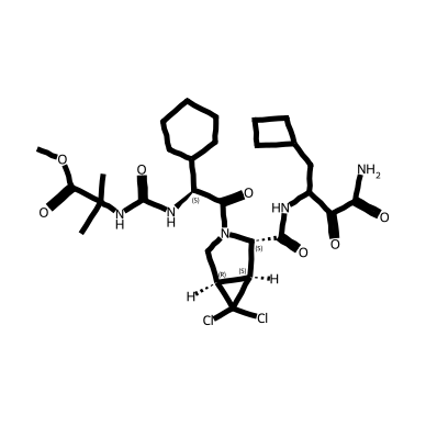 COC(=O)C(C)(C)NC(=O)N[C@H](C(=O)N1C[C@H]2[C@@H]([C@H]1C(=O)NC(CC1CCC1)C(=O)C(N)=O)C2(Cl)Cl)C1CCCCC1